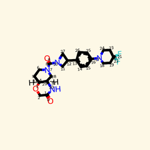 O=C1CO[C@H]2CCN(C(=O)N3CC(c4ccc(N5CCC(F)(F)CC5)cc4)C3)C[C@H]2N1